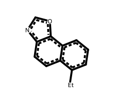 CCc1cccc2c1ccc1ncoc12